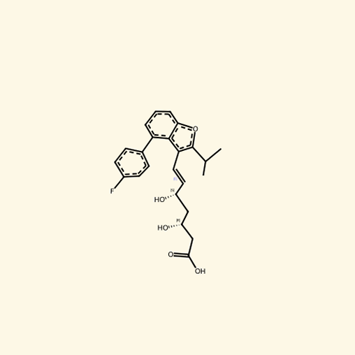 CC(C)c1oc2cccc(-c3ccc(F)cc3)c2c1/C=C/[C@@H](O)C[C@@H](O)CC(=O)O